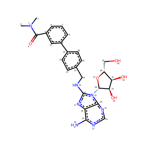 CN(C)C(=O)c1cccc(-c2ccc(CNc3nc4c(N)ncnc4n3[C@@H]3O[C@H](CO)[C@@H](O)[C@H]3O)cc2)c1